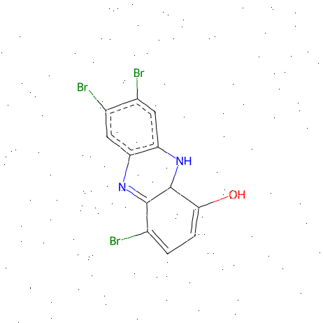 OC1=CC=C(Br)C2=Nc3cc(Br)c(Br)cc3NC12